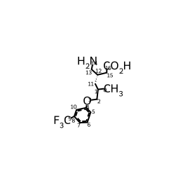 CC(COc1cccc(C(F)(F)F)c1)C[C@H](CN)CC(=O)O